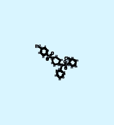 CCc1ccc(S(=O)(=O)N2CCC(N(c3ncccn3)S(=O)(=O)c3ccccc3Cl)CC2)cc1